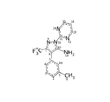 Cc1cccc(-c2c(C(F)(F)F)nn(-c3ncccn3)c2N)c1